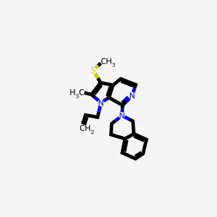 C=CCn1c(C)c(SC)c2ccnc(N3CCc4ccccc4C3)c21